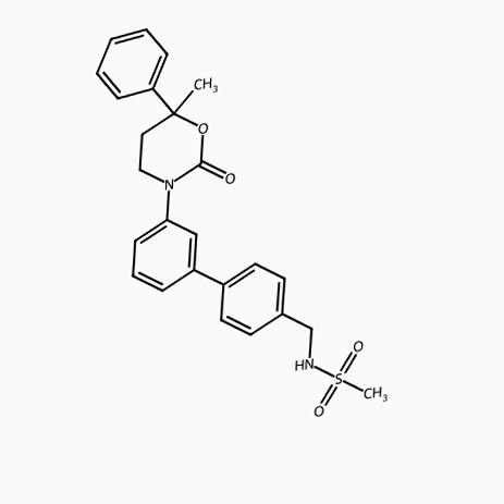 CC1(c2ccccc2)CCN(c2cccc(-c3ccc(CNS(C)(=O)=O)cc3)c2)C(=O)O1